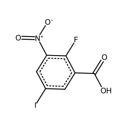 O=C(O)c1cc(I)cc([N+](=O)[O-])c1F